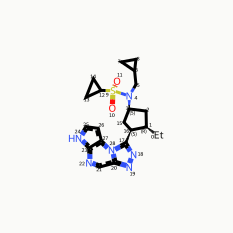 CC[C@@H]1C[C@H](N(CC2CC2)S(=O)(=O)C2CC2)C[C@@H]1c1nnc2cnc3[nH]ccc3n12